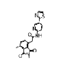 Cc1ccc(CC(=O)Nc2ccc(-c3nccs3)cn2)c2c1C(=O)N(C)C2=O